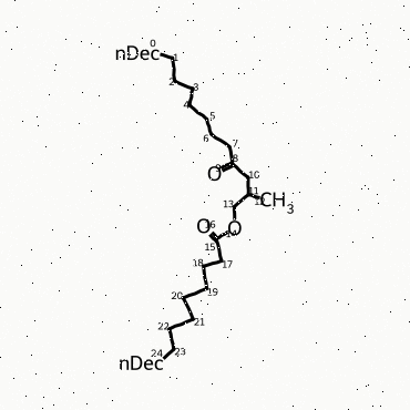 CCCCCCCCCCCCCCCCCC(=O)CC(C)COC(=O)CCCCCCCCCCCCCCCCC